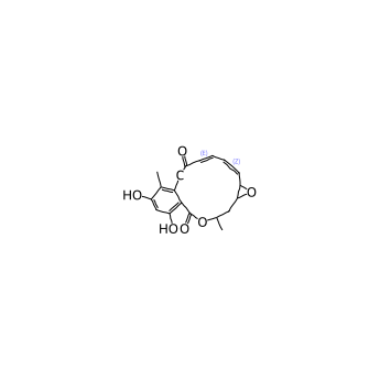 Cc1c(O)cc(O)c2c1CC(=O)/C=C/C=C\C1OC1CC(C)OC2=O